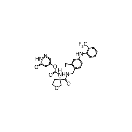 O=C(N[C@@]1(C(=O)NCc2ccc(Nc3ccccc3C(F)(F)F)cc2F)CCOC1)Oc1cn[nH]c(=O)c1